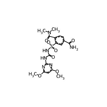 COc1cc(OC)nc(NC(=O)NS(=O)(=O)c2cc(C(N)=O)ccc2C(=O)N(C)C)n1